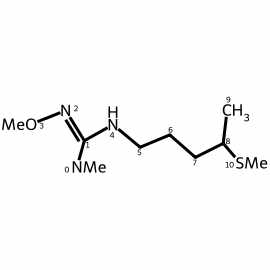 CN/C(=N\OC)NCCCC(C)SC